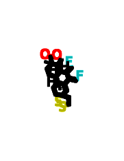 C[C@]12CCC3(C=C1C(=C/F)/C(=C/F)[C@@H]1[C@@H]2CC[C@]2(C)C(=O)OC[C@@H]12)CCSS3